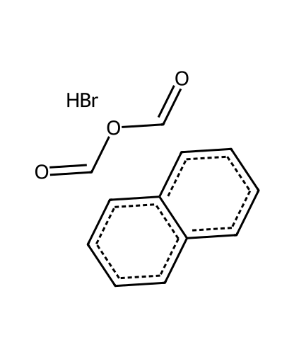 Br.O=COC=O.c1ccc2ccccc2c1